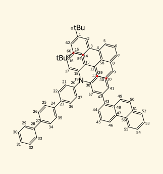 CC(C)(C)c1cc(-c2cccc3cccc(-c4ccccc4N(c4ccc(-c5ccc(-c6ccccc6)cc5)cc4)c4cccc(-c5cccc6c5ccc5ccccc56)c4)c23)cc(C(C)(C)C)c1